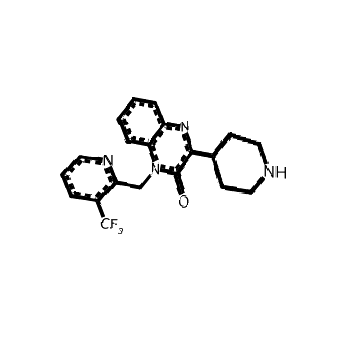 O=c1c(C2CCNCC2)nc2ccccc2n1Cc1ncccc1C(F)(F)F